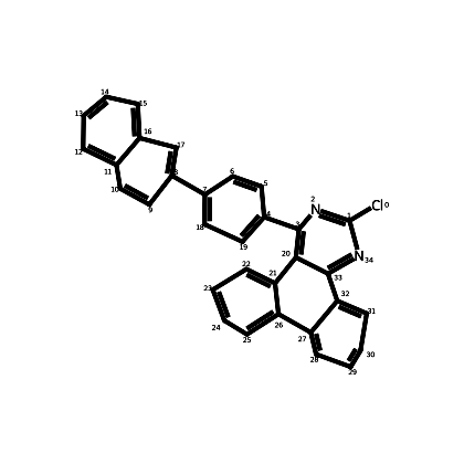 Clc1nc(-c2ccc(-c3ccc4ccccc4c3)cc2)c2c3ccccc3c3ccccc3c2n1